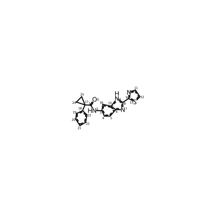 O=C(Nc1ccc2nc(-c3nccs3)[nH]c2c1)C1(c2ccccc2)CC1